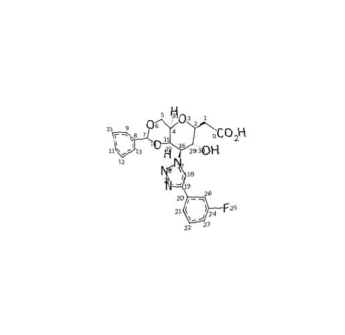 O=C(O)C[C@@H]1O[C@@H]2COC(c3ccccc3)O[C@@H]2[C@H](n2cc(-c3cccc(F)c3)nn2)[C@H]1O